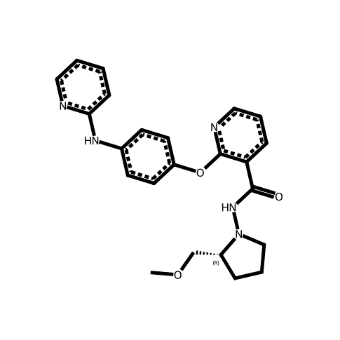 COC[C@H]1CCCN1NC(=O)c1cccnc1Oc1ccc(Nc2ccccn2)cc1